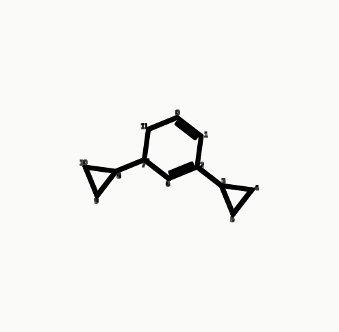 C1=CC(C2CC2)=C[C](C2CC2)C1